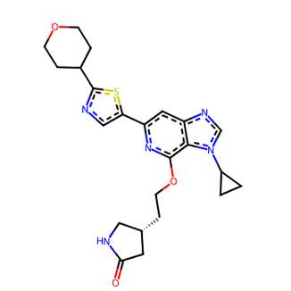 O=C1C[C@@H](CCOc2nc(-c3cnc(C4CCOCC4)s3)cc3ncn(C4CC4)c23)CN1